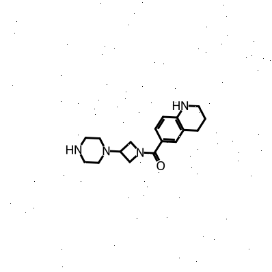 O=C(c1ccc2c(c1)CCCN2)N1CC(N2CCNCC2)C1